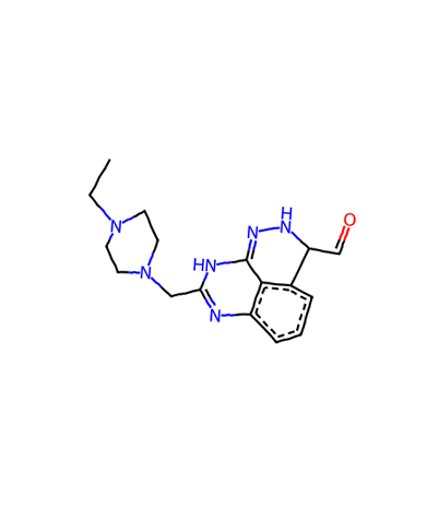 CCN1CCN(CC2=Nc3cccc4c3C(=NNC4C=O)N2)CC1